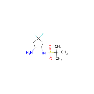 CC(C)(C)S(=O)(=O)N[C@H]1CC(F)(F)C[C@H]1N